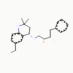 CC(=O)N[C@@H](Cc1ccccc1)[C@@H](O)CN[C@@H]1CC(C)(C)Nc2ccc(CC(C)(C)C)cc21